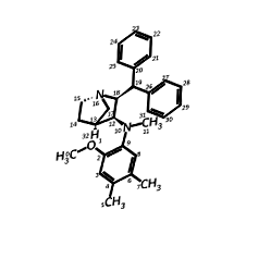 COc1cc(C)c(C)cc1N(C)[C@H]1[C@H]2CC[N@@](C2)[C@H]1C(c1ccccc1)c1ccccc1